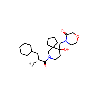 C[C@H](CC1CCCCC1)C(=O)N1CCC(O)(CN2CCOCC2=O)C2(CCCC2)C1